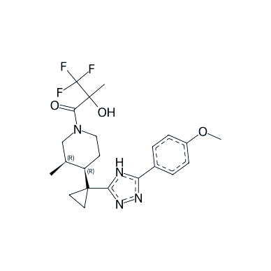 COc1ccc(-c2nnc(C3([C@@H]4CCN(C(=O)C(C)(O)C(F)(F)F)C[C@@H]4C)CC3)[nH]2)cc1